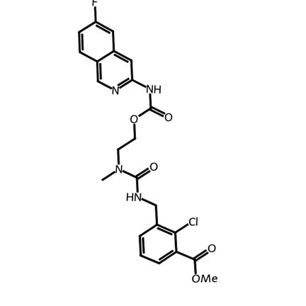 COC(=O)c1cccc(CNC(=O)N(C)CCOC(=O)Nc2cc3cc(F)ccc3cn2)c1Cl